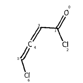 O=C(Cl)C=C=CCl